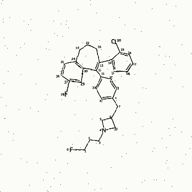 FCCCN1CC(Cc2ccc(C3=C(c4ccccc4Cl)CCCc4ccc(F)cc43)cc2)C1